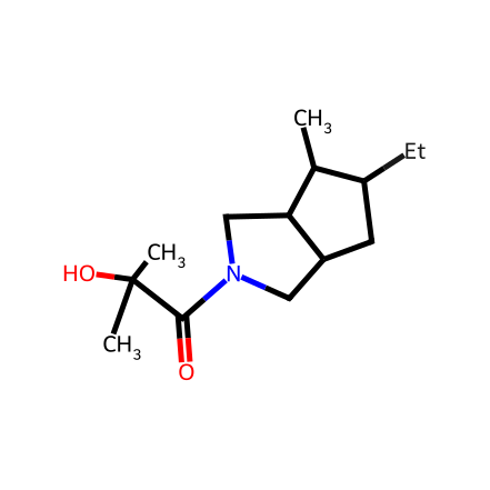 CCC1CC2CN(C(=O)C(C)(C)O)CC2C1C